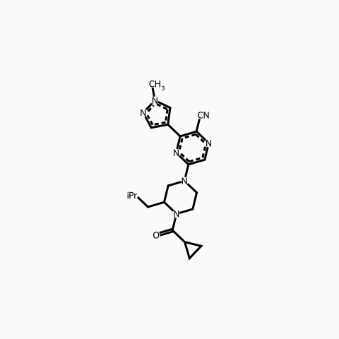 CC(C)CC1CN(c2cnc(C#N)c(-c3cnn(C)c3)n2)CCN1C(=O)C1CC1